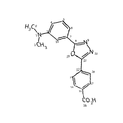 CN(C)c1cccc(-c2nnc(-c3ccc(C(=O)O)cc3)o2)c1